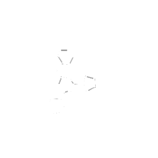 O=Cc1ccn(-c2nc(Nc3ccc(F)cc3)cc(N3CCOCC3)n2)n1